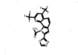 CC(=O)n1c(-c2nnco2)cc2ccc3c(C(F)(F)F)cc(C(F)(F)F)nc3c21